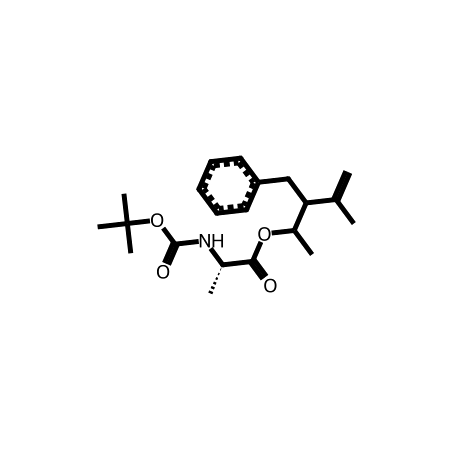 C=C(C)C(Cc1ccccc1)C(C)OC(=O)[C@H](C)NC(=O)OC(C)(C)C